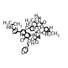 CC[C@@H]1C[C@]1(NC(=O)[C@@H]1C[C@@H](Oc2cc(-c3csc(NC(C)C)n3)nc3c(Cl)c(OCCN4CCOCC4)ccc23)CN1C(=O)[C@@H](NC(=O)O[C@@H]1C[C@@H]2[C@H](C)[C@@H]2C1)C(C)(C)C)C(=O)O